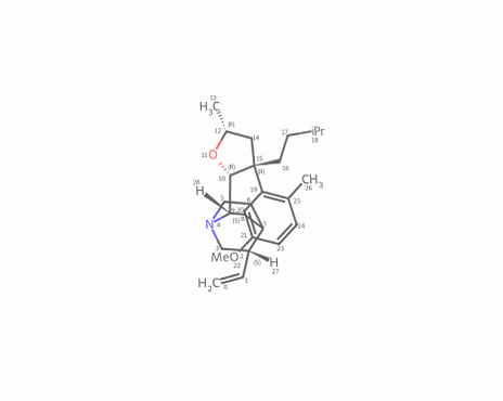 C=C[C@@H]1CN2CCC1C[C@H]2[C@@H]1O[C@H](C)C[C@]1(CCC(C)C)c1cc(OC)ccc1C